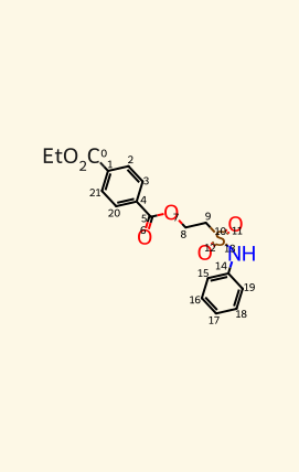 CCOC(=O)c1ccc(C(=O)OCCS(=O)(=O)Nc2ccccc2)cc1